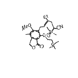 CC/C(=C\Cc1c(OC)c(C)c2c(c1OCC[Si](C)(C)C)C(=O)OC2)CC(C#N)P(C)(C)=O